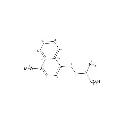 COc1ccc(CC[C@H](N)C(=O)O)c2ccccc12